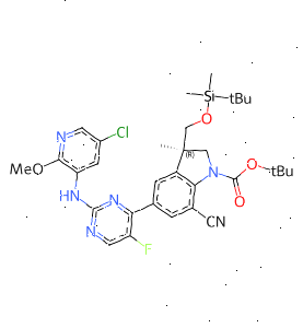 COc1ncc(Cl)cc1Nc1ncc(F)c(-c2cc(C#N)c3c(c2)[C@@](C)(CO[Si](C)(C)C(C)(C)C)CN3C(=O)OC(C)(C)C)n1